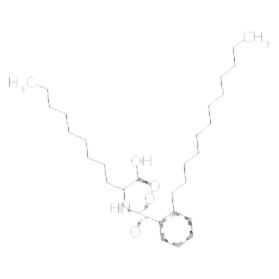 CCCCCCCCCCCCc1ccccc1S(=O)(=O)NC(CCCCCCCCC)C(=O)O